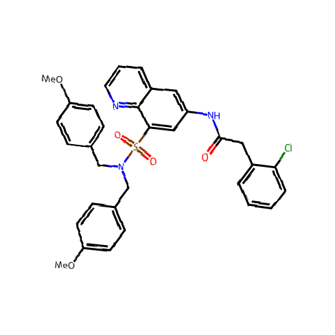 COc1ccc(CN(Cc2ccc(OC)cc2)S(=O)(=O)c2cc(NC(=O)Cc3ccccc3Cl)cc3cccnc23)cc1